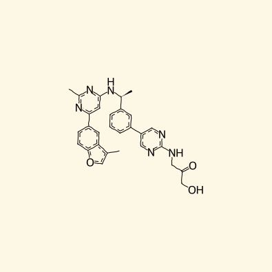 Cc1nc(N[C@@H](C)c2cccc(-c3cnc(NCC(=O)CO)nc3)c2)cc(-c2ccc3occ(C)c3c2)n1